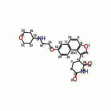 O=C1CCC(c2coc3ccc4cc(OCCNC5CCOCC5)ccc4c23)C(=O)N1